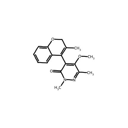 COc1c(C)nn(C)c(=O)c1C1=C(C)COc2ccccc21